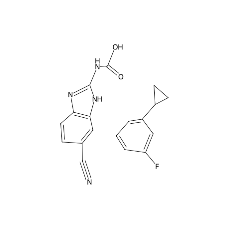 Fc1cccc(C2CC2)c1.N#Cc1ccc2nc(NC(=O)O)[nH]c2c1